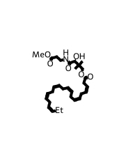 CC/C=C\C/C=C\C/C=C\C/C=C\C/C=C\C/C=C\CC(=O)OCC(C)(C)[C@@H](O)C(=O)NCCC(=O)OC